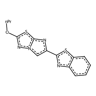 CCCOc1nn2cc(-c3nc4ccccc4s3)nc2s1